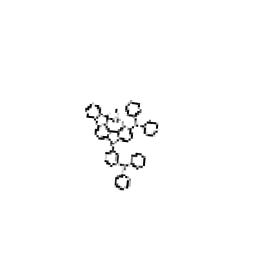 CC1(C)c2ccccc2-c2ccc3c(c21)c1cc(N(c2ccccc2)c2ccccc2)ccc1n3-c1cccc(N(c2ccccc2)c2ccccc2)c1